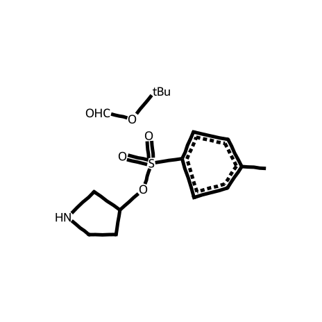 CC(C)(C)OC=O.Cc1ccc(S(=O)(=O)OC2CCNC2)cc1